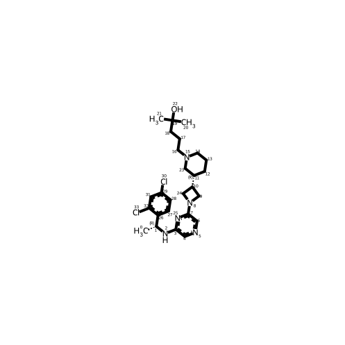 C[C@@H](Nc1cncc(N2CC([C@H]3CCCN(CCCC(C)(C)O)C3)C2)n1)c1ccc(Cl)cc1Cl